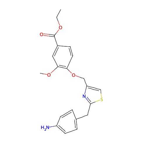 CCOC(=O)c1ccc(OCc2csc(Cc3ccc(N)cc3)n2)c(OC)c1